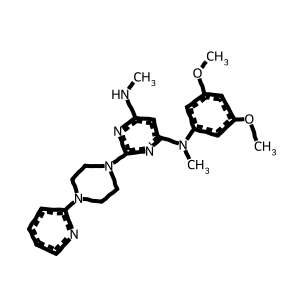 CNc1cc(N(C)c2cc(OC)cc(OC)c2)nc(N2CCN(c3ccccn3)CC2)n1